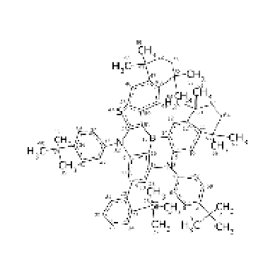 CC(C)(C)c1ccc(N2c3cc4c(cc3B3c5c2cc(-c2ccccc2[Si](C)(C)C)cc5N(c2ccc(C(C)(C)C)cc2)c2sc5cc6c(cc5c23)C(C)(C)CCC6(C)C)C(C)(C)CCC4(C)C)cc1